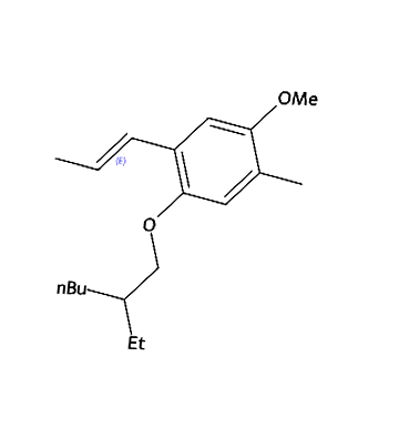 C/C=C/c1cc(OC)c(C)cc1OCC(CC)CCCC